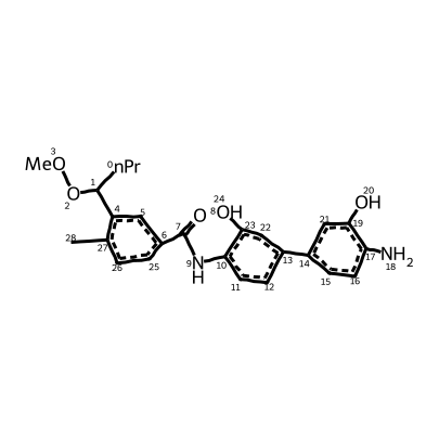 CCCC(OOC)c1cc(C(=O)Nc2ccc(-c3ccc(N)c(O)c3)cc2O)ccc1C